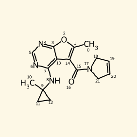 Cc1oc2ncnc(NC3(C)CC3)c2c1C(=O)N1CC=CC1